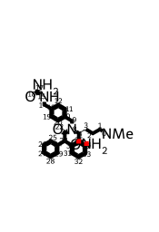 CNCCC[C@H](C(N)=O)N(Cc1ccc(CNC(N)=O)cc1)C(=O)C(c1ccccc1)c1ccccc1